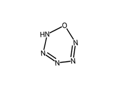 N1=NNON=N1